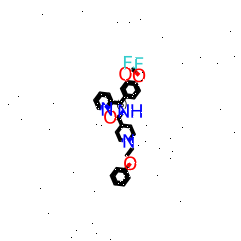 O=C(N[C@@H](c1ccc2c(c1)OC(F)(F)O2)c1ccccn1)C1CCN(CCOc2ccccc2)CC1